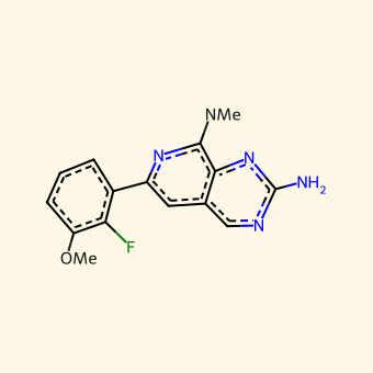 CNc1nc(-c2cccc(OC)c2F)cc2cnc(N)nc12